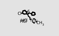 CN1CCN(CCCc2c(-c3ccccc3)sc3ccc(Cl)cc23)CC1.Cl.Cl